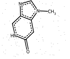 Cn1cnc2c[nH]c(=O)cc21